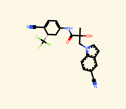 CC(O)(Cn1ccc2cc(C#N)ccc21)C(=O)NC1=CC=C(C#N)[C@@H](C(F)(F)F)C1